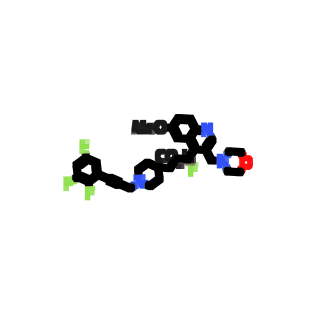 COc1ccc2ncc(CN3CCOCC3)c([C@H](F)CCC3(C(=O)O)CCN(CC#Cc4cc(F)cc(F)c4F)CC3)c2c1